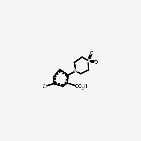 O=C(O)c1cc(Cl)ccc1N1CCS(=O)(=O)CC1